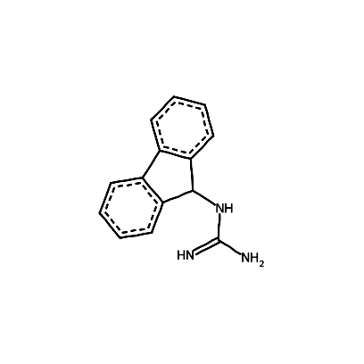 N=C(N)NC1c2ccccc2-c2ccccc21